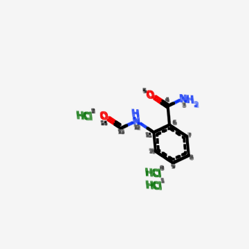 Cl.Cl.Cl.NC(=O)c1ccccc1NC=O